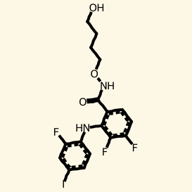 O=C(NOCCCCO)c1ccc(F)c(F)c1Nc1ccc(I)cc1F